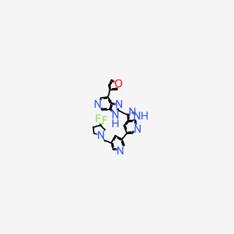 FC1(F)CCN(Cc2cncc(-c3cnc4[nH]nc(-c5nc6c(-c7ccoc7)cncc6[nH]5)c4c3)c2)C1